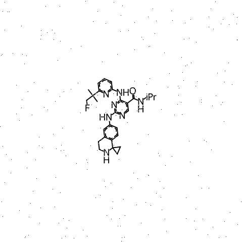 CC(C)NC(=O)c1cnc(Nc2ccc3c(c2)CCNC32CC2)nc1Nc1cccc(C(C)(C)CF)n1